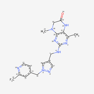 Cc1nc(NCc2cnn(Cc3ccnc(C(F)(F)F)c3)c2)nc2c1NC(=O)CN2C